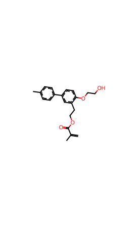 C=C(C)C(=O)OCCc1cc(-c2ccc(C)cc2)ccc1OCCO